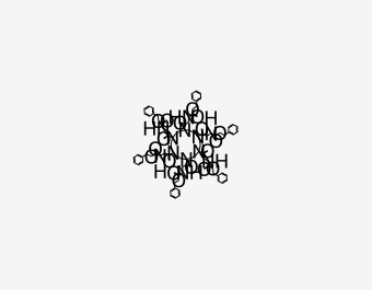 O=C(NCC(=O)N1CCN(C(=O)CNC(=O)OCc2ccccc2)CCN(C(=O)CNC(=O)OCc2ccccc2)CCN(C(=O)CNC(=O)OCc2ccccc2)CCN(C(=O)CNC(=O)OCc2ccccc2)CCN(C(=O)CNC(=O)OCc2ccccc2)CC1)OCc1ccccc1